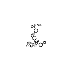 CNC(=O)c1cccc(-n2ccc3cc(N(C(C(=O)O)C(C)(C)C)S(=O)(=O)c4cccc(Cl)c4)ccc32)c1